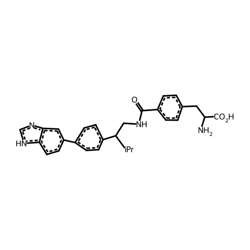 CC(C)C(CNC(=O)c1ccc(CC(N)C(=O)O)cc1)c1ccc(-c2ccc3[nH]cnc3c2)cc1